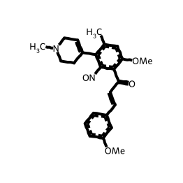 COc1cccc(/C=C/C(=O)c2c(OC)cc(C)c(C3=CCN(C)CC3)c2N=O)c1